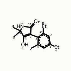 CCc1cc(C)c(C2=C(O)C(C)(C)NC2=O)c(CC)c1